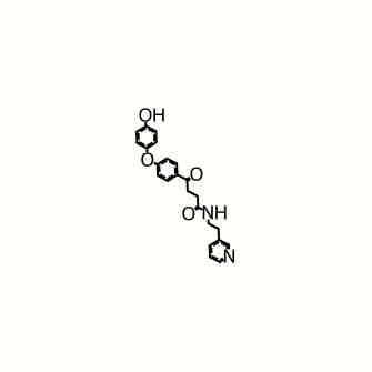 O=C(CCC(=O)c1ccc(Oc2ccc(O)cc2)cc1)NCCc1cccnc1